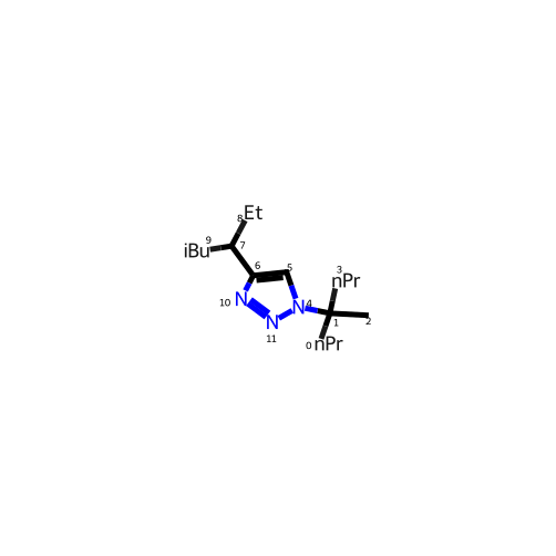 CCCC(C)(CCC)n1cc(C(CC)C(C)CC)nn1